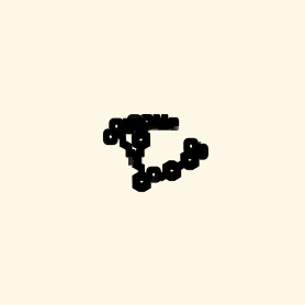 COC(=O)CCCCN(CCc1ccccc1OCc1ccc(-c2ccc3c(c2)OCO3)cc1)Cc1ccc(C(=O)OC)cc1